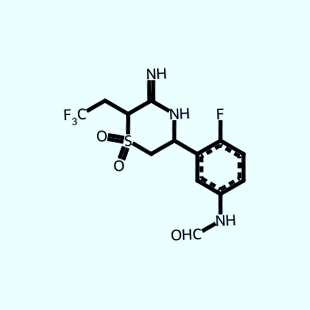 N=C1NC(c2cc(NC=O)ccc2F)CS(=O)(=O)C1CC(F)(F)F